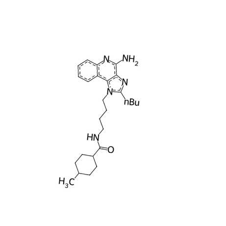 CCCCc1nc2c(N)nc3ccccc3c2n1CCCCNC(=O)C1CCC(C)CC1